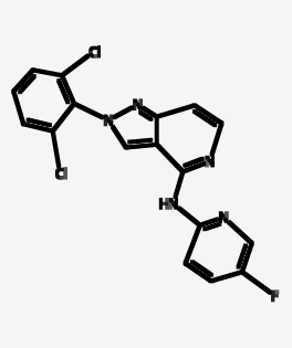 Fc1ccc(Nc2nccc3nn(-c4c(Cl)cccc4Cl)cc23)nc1